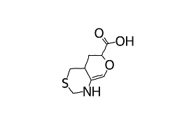 O=C(O)C1CC2CSCNC2=CO1